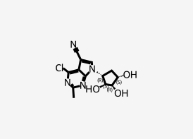 Cc1nc(Cl)c2c(C#N)cn([C@@H]3C[C@H](O)[C@@H](O)[C@H]3O)c2n1